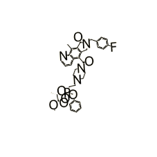 COC(=O)[C@H](C)OP(=O)(CCN1CCN(C(=O)c2c3c(c(C)c4ncccc24)C(=O)N(Cc2ccc(F)cc2)C3)CC1)Oc1ccccc1